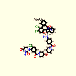 COc1ccc(C(N)=O)c(-c2c(Cl)c(F)cc3c2[C@H](C)[C@@](CNC2CCC(C(=O)N4CCC(OC5CCN(C(=O)c6ccc(Cl)c(N7CCC(=O)NC7=O)c6)CC5)CC4)CC2)(c2ccccc2)O3)c1F